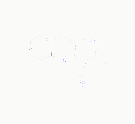 N#Cc1c(Cl)ncc2cc3ccccc3nc12